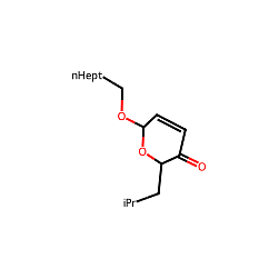 CCCCCCCCOC1C=CC(=O)C(CC(C)C)O1